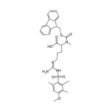 COc1cc(C)c(S(=O)(=O)NC(N)=NCCCC(C(=O)O)N(C)C(=O)OCC2c3ccccc3-c3ccccc32)c(C)c1C